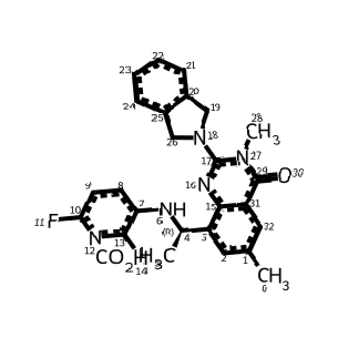 Cc1cc([C@@H](C)Nc2ccc(F)nc2C(=O)O)c2nc(N3Cc4ccccc4C3)n(C)c(=O)c2c1